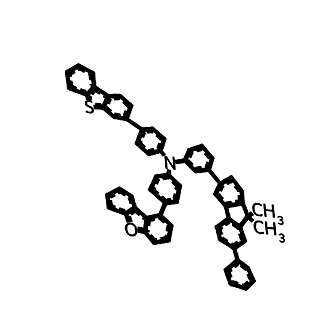 CC1(C)c2ccc(-c3cccc(N(c4ccc(-c5ccc6c(c5)sc5ccccc56)cc4)c4ccc(-c5cccc6oc7ccccc7c56)cc4)c3)cc2-c2ccc(-c3ccccc3)cc21